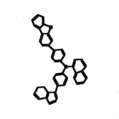 C1=Cc2cccc(-c3ccc(N(c4ccc(-c5ccc6c(c5)oc5ccccc56)cc4)c4cccc5ccccc45)cc3)c2CC1